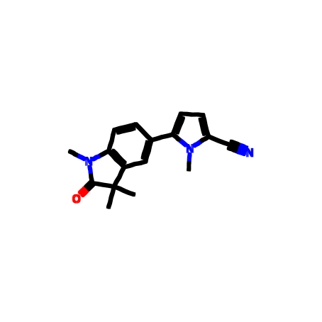 CN1C(=O)C(C)(C)c2cc(-c3ccc(C#N)n3C)ccc21